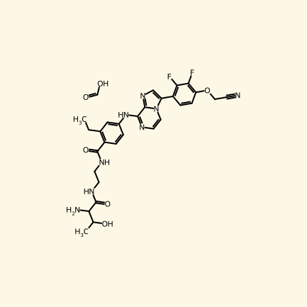 CCc1cc(Nc2nccn3c(-c4ccc(OCC#N)c(F)c4F)cnc23)ccc1C(=O)NCCNC(=O)C(N)C(C)O.O=CO